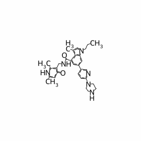 CCCn1cc(C)c2c(C(=O)NCc3c(C)[nH]c(C)cc3=O)cc(-c3ccc(N4CCNCC4)nc3)cc21